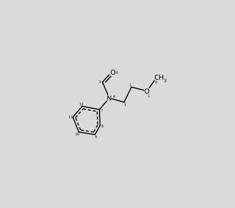 COCCN([C]=O)c1ccccc1